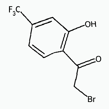 O=C(CBr)c1ccc(C(F)(F)F)cc1O